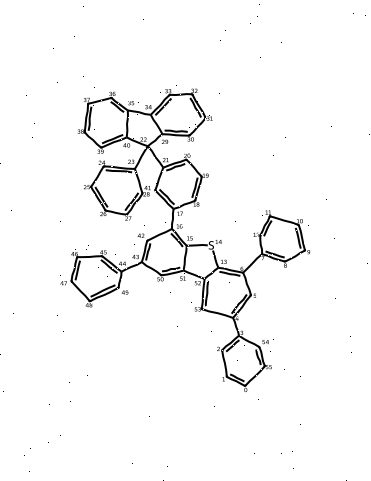 c1ccc(-c2cc(-c3ccccc3)c3sc4c(-c5cccc(C6(c7ccccc7)c7ccccc7-c7ccccc76)c5)cc(-c5ccccc5)cc4c3c2)cc1